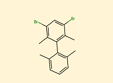 Cc1cccc(C)c1-c1c(C)c(Br)cc(Br)c1C